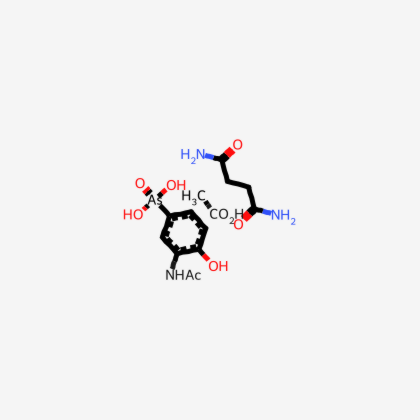 CC(=O)Nc1cc([As](=O)(O)O)ccc1O.CC(=O)O.NC(=O)CCC(N)=O